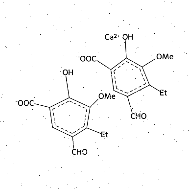 CCc1c(C=O)cc(C(=O)[O-])c(O)c1OC.CCc1c(C=O)cc(C(=O)[O-])c(O)c1OC.[Ca+2]